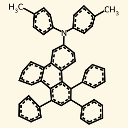 Cc1ccc(N(c2ccc(C)cc2)c2ccc3c(c2)c2ccccc2c2c(-c4ccccc4)cc(-c4ccccc4)c(-c4ccccc4)c32)cc1